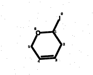 IC1CC=CCO1